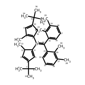 CC1=[C]([Zr]([C]2=CC(C(C)(C)C)=CC2C)=[C](c2cccc(C)c2C)c2cccc(C)c2C)CC(C(C)(C)C)=C1